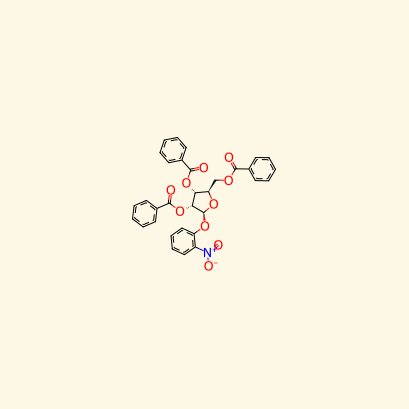 O=C(OC[C@H]1O[C@@H](Oc2ccccc2[N+](=O)[O-])[C@H](OC(=O)c2ccccc2)[C@@H]1OC(=O)c1ccccc1)c1ccccc1